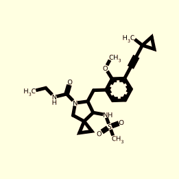 CCNC(=O)N1CC2(CC2)C(NS(C)(=O)=O)C1Cc1cccc(C#CC2(C)CC2)c1OC